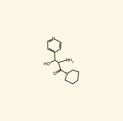 NC(C(=O)N1CCCCC1)C(O)c1ccncc1